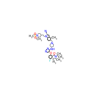 Cc1c(CN2CCC(Nc3ncncc3Oc3ccc(F)cc3C(=O)N(C(C)C)C(C)C)CC2)ccc2c1cc(C#N)n2CCC1CCN(S(C)(=O)=O)C(C)C1